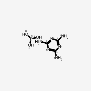 Nc1nc(N)nc(N)n1.OP(O)O